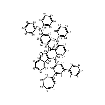 C1=CC=C(c2cc(-c3ccccc3)cc(N3c4cccc5c4B(c4ccc(N(c6ccccc6)c6ccccc6)cc4N5c4ccccc4)c4oc5ccccc5c43)c2)CC=C1